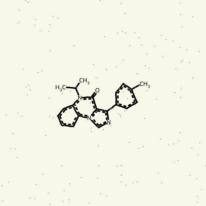 Cc1ccc(-c2ncn3c2c(=O)n(C(C)C)c2ccccc23)cc1